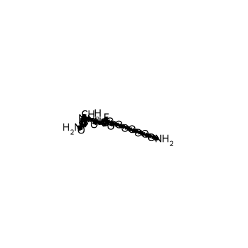 Cc1nc2cc(C(N)=O)ccc2n1CCCC(=O)NCc1ccc(OC(=O)CCOCCOCCOCCOCCOCCOCCN)c(F)c1